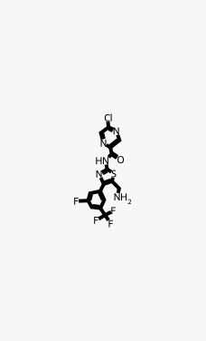 NCc1sc(NC(=O)c2cnc(Cl)cn2)nc1-c1cc(F)cc(C(F)(F)F)c1